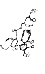 Cc1cc([C@@]2(C#N)[C@H](CC(C)(C)C)N[C@@H](C(=O)OC[C@@H](O)CC(N)=O)[C@@H]2c2cccc(Cl)c2F)ccc1Cl